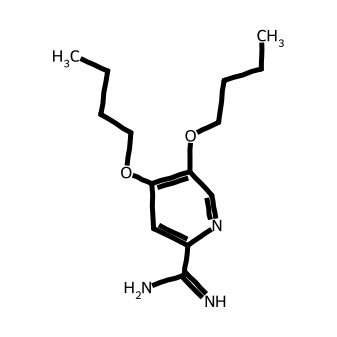 CCCCOc1cnc(C(=N)N)cc1OCCCC